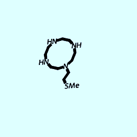 CSCCN1CCNCCNCCNCC1